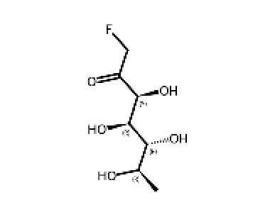 C[C@@H](O)[C@@H](O)[C@@H](O)[C@H](O)C(=O)CF